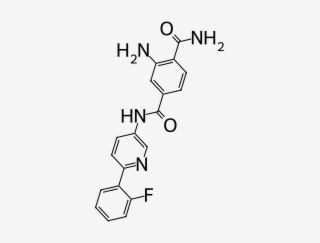 NC(=O)c1ccc(C(=O)Nc2ccc(-c3ccccc3F)nc2)cc1N